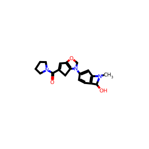 CN1c2cc(N3COC4=C3CC(C(=O)N3CCCC3)=C4)ccc2C1O